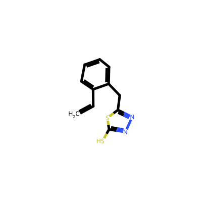 C=Cc1ccccc1Cc1nnc(S)s1